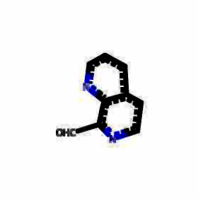 O=Cc1nccc2cccnc12